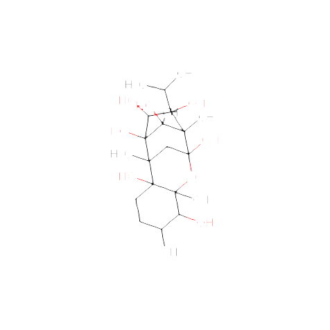 CC1CCC2(O)C(C)(OC3(O)CC2(C)C2(O)C(O)C(O)(C(C)C)C3(C)C2(C)O)C1O